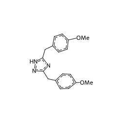 COc1ccc(Cc2n[nH]c(Cc3ccc(OC)cc3)n2)cc1